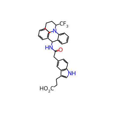 O=C(O)CCc1c[nH]c2ccc(CC(=O)NC(c3ccccc3)c3ccccc3N3CCCCC3C(F)(F)F)cc12